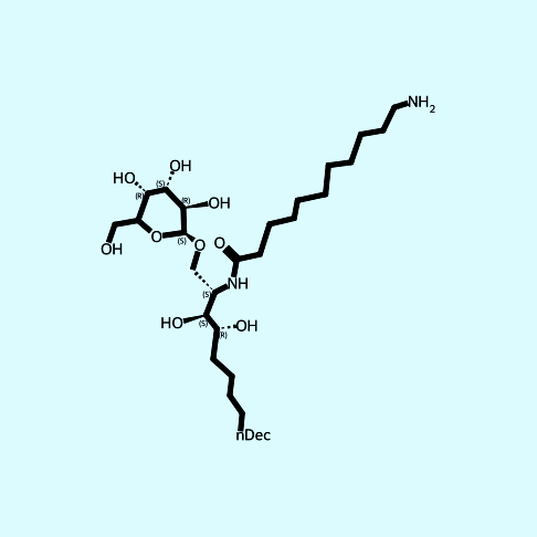 CCCCCCCCCCCCCC[C@@H](O)[C@@H](O)[C@H](CO[C@H]1OC(CO)[C@H](O)[C@H](O)[C@H]1O)NC(=O)CCCCCCCCCCN